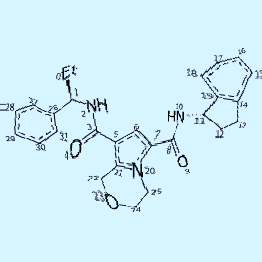 CC[C@@H](NC(=O)c1cc(C(=O)N[C@H]2CCc3ccccc32)n2c1COCC2)c1ccccc1